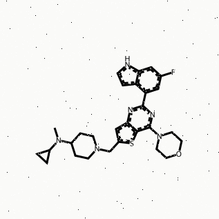 CN(C1CC1)C1CCN(Cc2cc3nc(-c4cc(F)cc5[nH]ccc45)nc(N4CCOCC4)c3s2)CC1